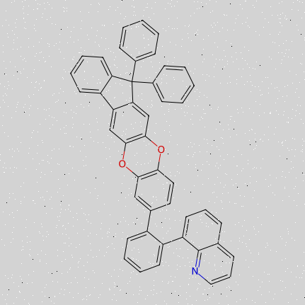 c1ccc(C2(c3ccccc3)c3ccccc3-c3cc4c(cc32)Oc2ccc(-c3ccccc3-c3cccc5cccnc35)cc2O4)cc1